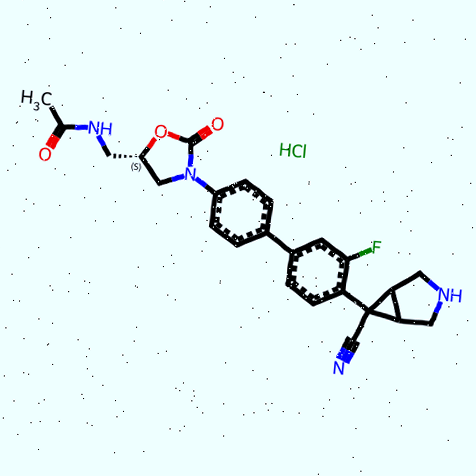 CC(=O)NC[C@H]1CN(c2ccc(-c3ccc(C4(C#N)C5CNCC54)c(F)c3)cc2)C(=O)O1.Cl